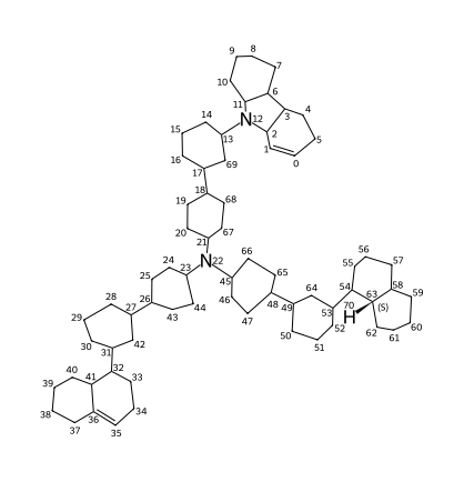 C1=CC2C(CC1)C1CCCCC1N2C1CCCC(C2CCC(N(C3CCC(C4CCCC(C5CCC=C6CCCCC65)C4)CC3)C3CCC(C4CCCC(C5CCCC6CCCC[C@@H]65)C4)CC3)CC2)C1